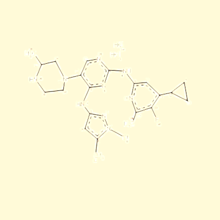 CCn1nc(Nc2nc(Nc3cc(C4CC4)c(F)c(C)n3)ncc2N2CCNC(C)C2)cc1C.Cl.Cl